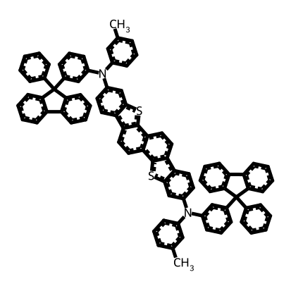 Cc1cccc(N(c2cccc(C3(c4ccccc4)c4ccccc4-c4ccccc43)c2)c2ccc3c(c2)sc2c3ccc3c2ccc2c4ccc(N(c5cccc(C)c5)c5cccc(C6(c7ccccc7)c7ccccc7-c7ccccc76)c5)cc4sc23)c1